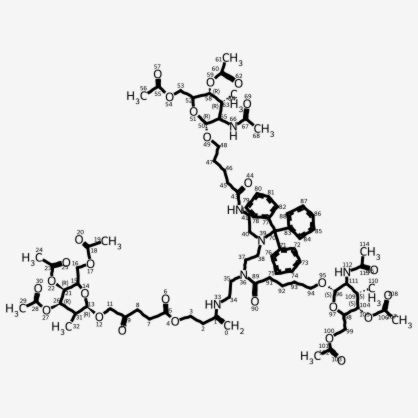 C=C(CCOC(=O)CCC(=O)CO[C@@H]1OC(COC(C)=O)[C@H](OC(C)=O)[C@H](OC(C)=O)C1C)NCCN(CCN(CCNC(=O)CCCCO[C@@H]1OC(COC(C)=O)[C@H](OC(C)=O)[C@H](C)C1NC(C)=O)C(c1ccccc1)(c1ccccc1)c1ccccc1)C(=O)CCCCO[C@H]1OC(COC(C)=O)[C@@H](OC(C)=O)[C@@H](C)C1NC(C)=O